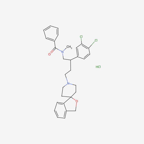 CN(CC(CCN1CCC2(CC1)OCc1ccccc12)c1ccc(Cl)c(Cl)c1)C(=O)c1ccccc1.Cl